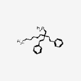 CCCCCCC(CP)(CCc1ccccc1)CCc1ccccc1